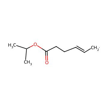 [CH2]/C=C/CCC(=O)OC(C)C